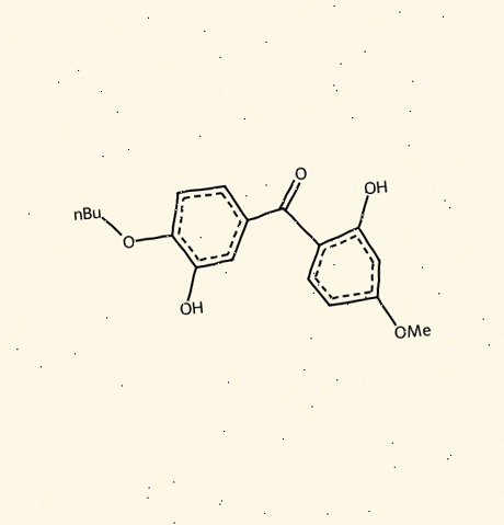 CCCCOc1ccc(C(=O)c2ccc(OC)cc2O)cc1O